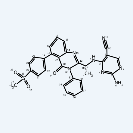 C[C@@H](Nc1nc(N)ncc1C#N)c1nc2cccc(-c3ccc(S(C)(=O)=O)cc3)c2c(=O)n1-c1ccccc1